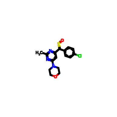 Cc1nc(C(=S=O)c2ccc(Cl)cc2)cc(N2CCOCC2)n1